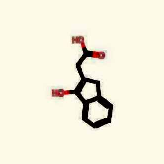 O=C(O)CC1=C(O)c2ccccc2C1